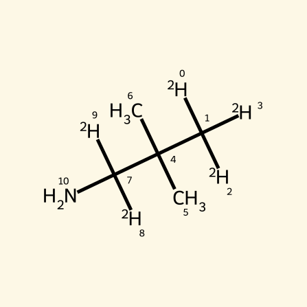 [2H]C([2H])([2H])C(C)(C)C([2H])([2H])N